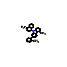 Cc1ccccc1-c1ccc2c3c(C)cccc3n(-c3ccc(C)c4ccccc34)c2c1